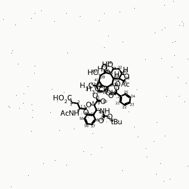 CC(=O)N[C@@H](CCC(=O)O)C(=O)O[C@@H](C(=O)O[C@H]1C[C@@]2(O)[C@@H](OC(=O)c3ccccc3)[C@@H]3[C@]4(OC(C)=O)CO[C@@H]4C[C@H](O)[C@@]3(C)C(=O)[C@H](O)C(=C1C)C2(C)C)[C@@H](NC(=O)OC(C)(C)C)c1ccccc1